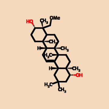 COC[C@@]1(C)C2CC[C@]3(C)[C@H](CC=C4[C@H]5CC(C)(C)C[C@@H](O)[C@]5(C)CC[C@]43C)[C@@]2(C)CC[C@@H]1O